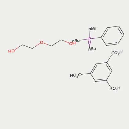 CCCC[PH](CCCC)(CCCC)c1ccccc1.O=C(O)c1cc(C(=O)O)cc(S(=O)(=O)O)c1.OCCOCCO